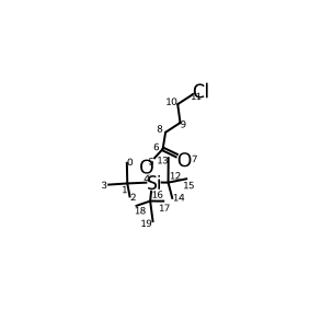 CC(C)(C)[Si](OC(=O)CCCCl)(C(C)(C)C)C(C)(C)C